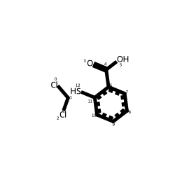 ClCCl.O=C(O)c1ccccc1S